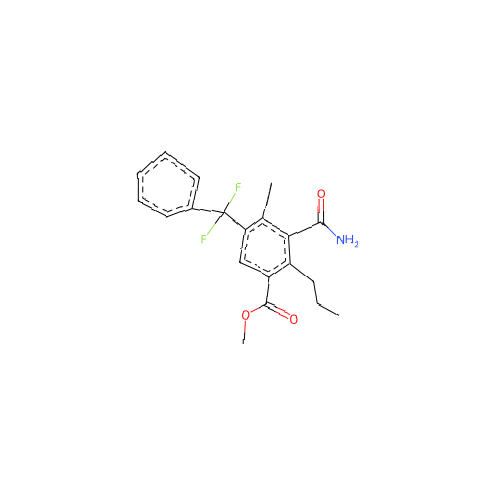 CCCc1c(C(=O)OC)cc(C(F)(F)c2ccccc2)c(C)c1C(N)=O